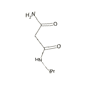 CC(C)NC(=O)CC(N)=O